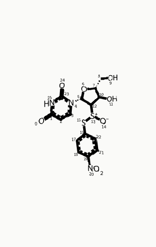 O=c1ccn([C@@H]2O[C@H](CO)C(O)C2[S+]([O-])Sc2ccc([N+](=O)[O-])cc2)c(=O)[nH]1